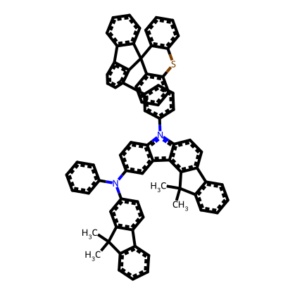 CC1(C)c2ccccc2-c2ccc(N(c3ccccc3)c3ccc4c(c3)c3c5c(ccc3n4-c3cccc(-c4cccc6c4C4(c7ccccc7Sc7ccccc74)c4ccccc4-6)c3)-c3ccccc3C5(C)C)cc21